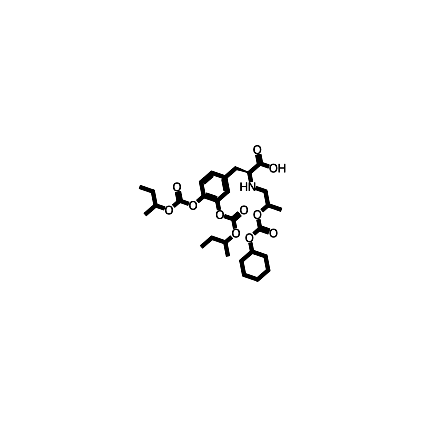 CCC(C)OC(=O)Oc1ccc(C[C@H](NCC(C)OC(=O)OC2CCCCC2)C(=O)O)cc1OC(=O)OC(C)CC